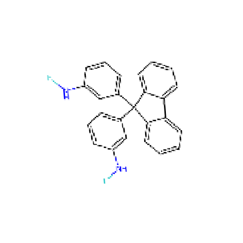 FNc1cccc(C2(c3cccc(NF)c3)c3ccccc3-c3ccccc32)c1